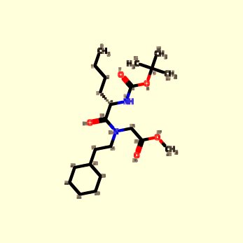 CCCC[C@H](NC(=O)OC(C)(C)C)C(=O)N(CCC1CCCCC1)CC(=O)OC